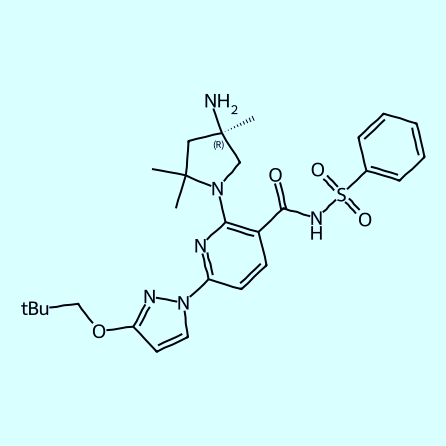 CC(C)(C)COc1ccn(-c2ccc(C(=O)NS(=O)(=O)c3ccccc3)c(N3C[C@](C)(N)CC3(C)C)n2)n1